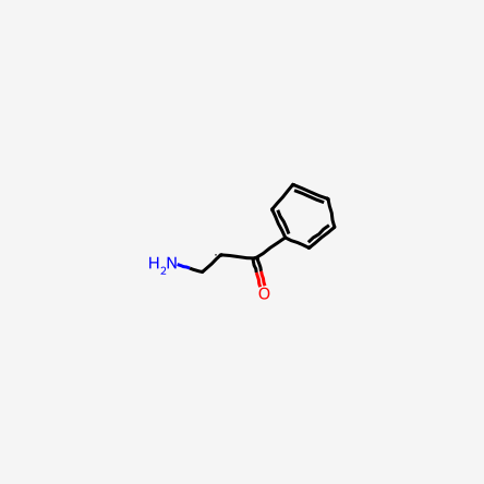 NC[CH]C(=O)c1ccccc1